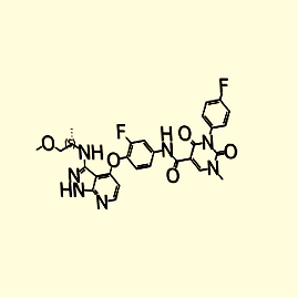 COC[C@H](C)Nc1n[nH]c2nccc(Oc3ccc(NC(=O)c4cn(C)c(=O)n(-c5ccc(F)cc5)c4=O)cc3F)c12